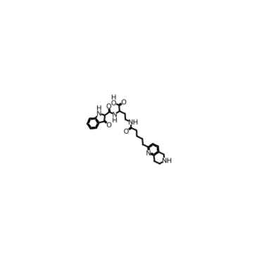 O=C(CCCCc1ccc2c(n1)CCNC2)NCCC(NC(=O)C1Nc2ccccc2C1=O)C(=O)O